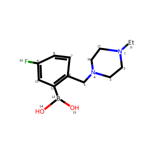 CCN1CCN(Cc2ccc(F)cc2B(O)O)CC1